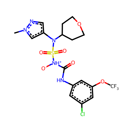 Cn1cc(N(C2CCOCC2)S(=O)(=O)[NH+]([O-])C(=O)Nc2cc(Cl)cc(OC(F)(F)F)c2)cn1